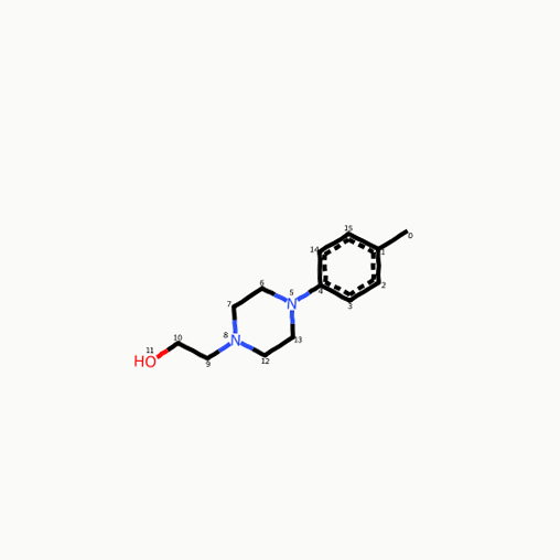 Cc1ccc(N2CCN(CCO)CC2)cc1